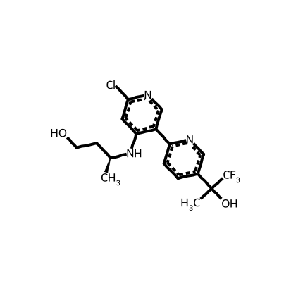 C[C@@H](CCO)Nc1cc(Cl)ncc1-c1ccc(C(C)(O)C(F)(F)F)cn1